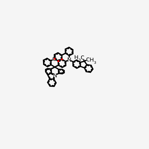 CC1(C)c2ccccc2-c2ccc(N(c3ccc4c(c3)Oc3ccccc3C43c4ccccc4-n4c5ccccc5c5cccc3c54)c3ccccc3-c3ccccc3)cc21